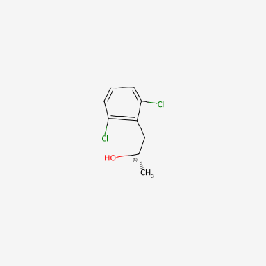 C[C@H](O)Cc1c(Cl)cccc1Cl